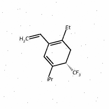 C=CC1=C(CC)C[C@H](C(F)(F)F)C(C(C)C)=C1